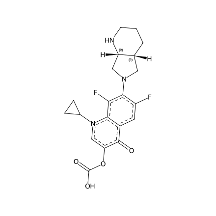 O=C(O)Oc1cn(C2CC2)c2c(F)c(N3C[C@H]4CCCN[C@H]4C3)c(F)cc2c1=O